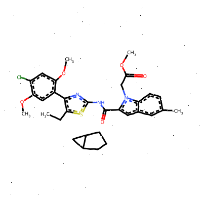 C1CC2CC2C1.CCc1sc(NC(=O)c2cc3cc(C)ccc3n2CC(=O)OC)nc1-c1cc(OC)c(Cl)cc1OC